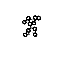 C1=CC2C(c3ccccc31)c1ccccc1N2c1cccc(-c2ccccc2)c1-c1ccc(N(c2ccc3c(c2)oc2ccccc23)c2cccc3c2oc2ccccc23)cc1